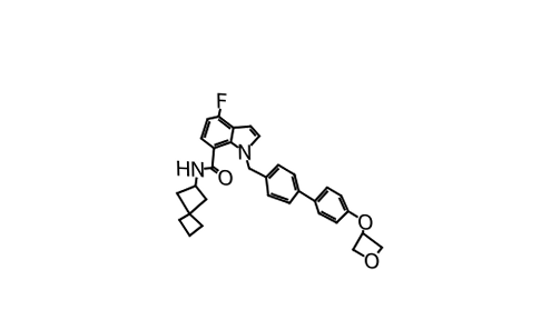 O=C(NC1CC2(CCC2)C1)c1ccc(F)c2ccn(Cc3ccc(-c4ccc(OC5COC5)cc4)cc3)c12